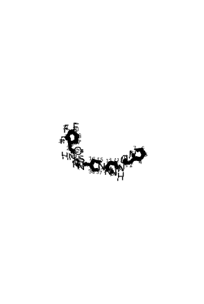 O=C(Cc1ccccn1)Nc1ccc(N2CCC(c3nnc(NC(=O)Cc4ccc(F)c(F)c4F)s3)CC2)nn1